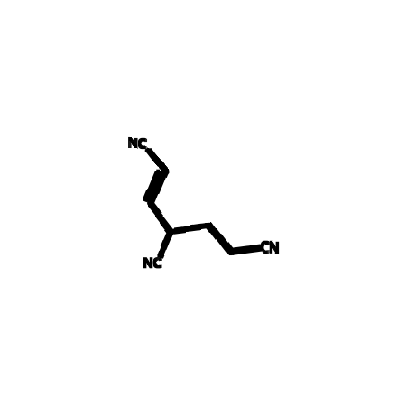 N#CC=CC(C#N)CCC#N